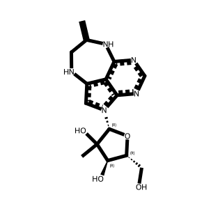 C=C1CNc2cn([C@@H]3O[C@H](CO)[C@@H](O)C3(C)O)c3ncnc(c23)N1